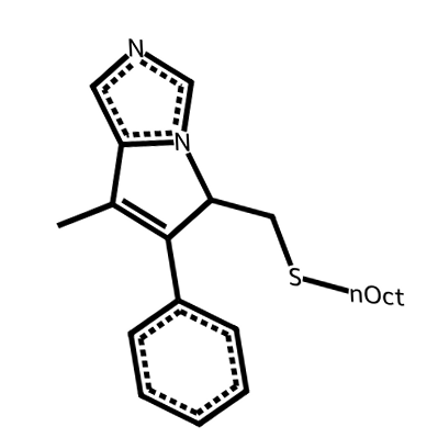 CCCCCCCCSCC1C(c2ccccc2)=C(C)c2cncn21